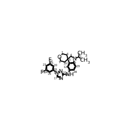 CC(C)N1CC2(CCOCC2)c2cc(Nc3ncn(-c4cc(F)cc(F)c4)n3)ccc21